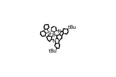 CC(C)(C)c1ccc2c3cc4c5ccc(C(C)(C)C)cc5n5c4c4c3n(c2c1)C1=CC=CC2C1B4c1c-5cccc1[Si]2(c1ccccc1)c1ccccc1